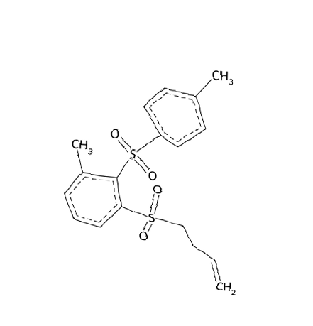 C=CCCS(=O)(=O)c1cccc(C)c1S(=O)(=O)c1ccc(C)cc1